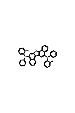 Cc1ccccc1N(c1ccccc1)c1cc2c(oc3cc(N(c4ccccc4)c4ccccc4C)c4ccccc4c32)c2ccccc12